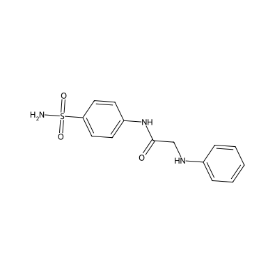 NS(=O)(=O)c1ccc(NC(=O)CNc2ccccc2)cc1